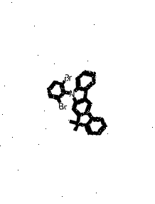 CC1(C)c2ccccc2-c2cc3c4ccccc4n(-c4c(Br)cccc4Br)c3cc21